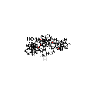 OC[C@H]1O[C@@H](O[C@H]2[C@H]3OC[C@@H]2O[C@@H](O[C@H]2[C@@H](O)[C@@H](CO)O[C@@H](O[C@H]4[C@H]5OC[C@@H]4O[C@@H](O[C@H]4[C@@H](O)[C@@H](CO)OC(O)[C@@H]4O)[C@@H]5O)[C@@H]2O)[C@@H]3O)[C@H](O)[C@@H](O[C@@H]2O[C@H]3CO[C@@H]([C@H]2O)[C@@H]3O)[C@H]1O